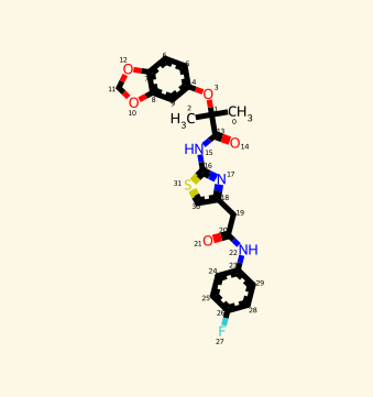 CC(C)(Oc1ccc2c(c1)OCO2)C(=O)Nc1nc(CC(=O)Nc2ccc(F)cc2)cs1